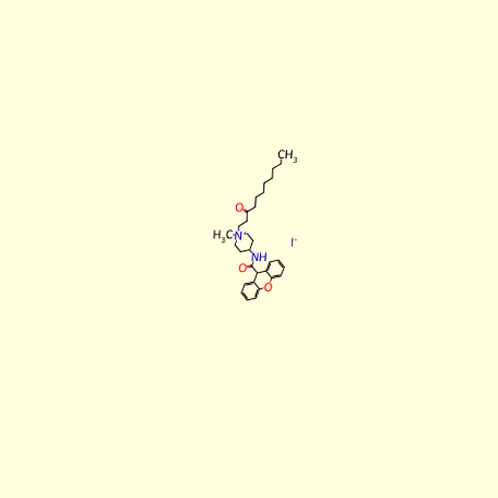 CCCCCCCCC(=O)CC[N+]1(C)CCC(NC(=O)C2c3ccccc3Oc3ccccc32)CC1.[I-]